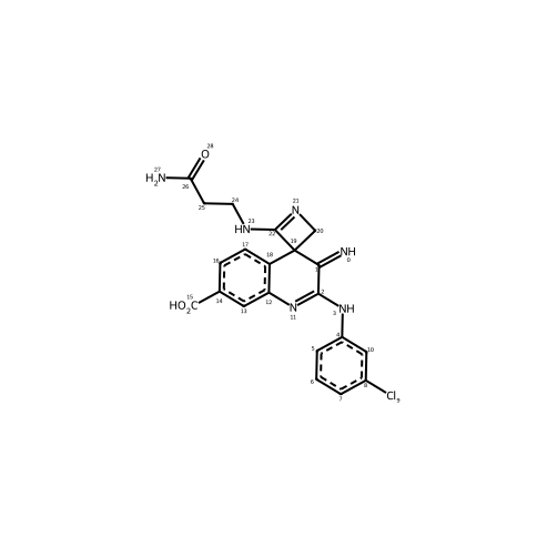 N=C1C(Nc2cccc(Cl)c2)=Nc2cc(C(=O)O)ccc2C12CN=C2NCCC(N)=O